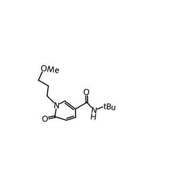 COCCCn1cc(C(=O)NC(C)(C)C)ccc1=O